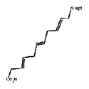 CCCCCCCCC=CCC=CCC=CCC(=O)O